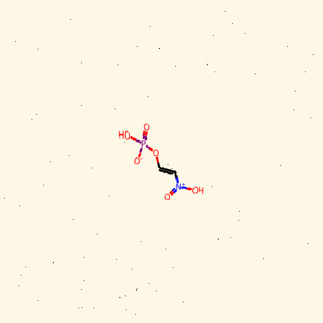 O=[N+](O)C=COP(=O)([O-])O